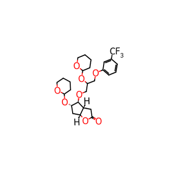 O=C1C[C@H]2[C@H](OCC(COc3cccc(C(F)(F)F)c3)OC3CCCCO3)[C@@H](OC3CCCCO3)C[C@H]2O1